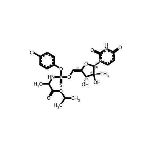 CC(C)OC(=O)C(C)NP(=S)(O/C=C1/O[C@@H](n2ccc(=O)[nH]c2=O)[C@](C)(O)[C@@H]1O)Oc1ccc(Cl)cc1